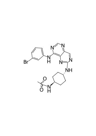 CS(=O)(=O)N[C@H]1CC[C@H](Nc2ncc3ncnc(Nc4cccc(Br)c4)c3n2)CC1